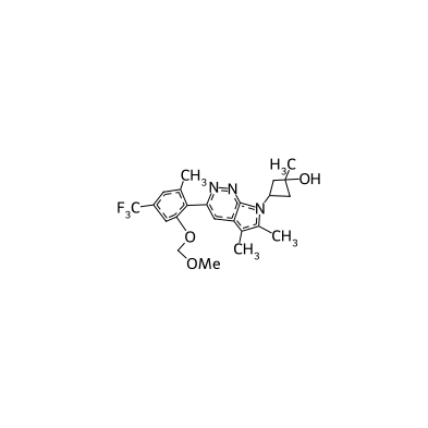 COCOc1cc(C(F)(F)F)cc(C)c1-c1cc2c(C)c(C)n(C3CC(C)(O)C3)c2nn1